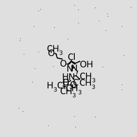 COCCCOc1nn(C[C@H](NC(=O)OC(C)(C)C)C(C)(C)C)c(CO)c1Cl